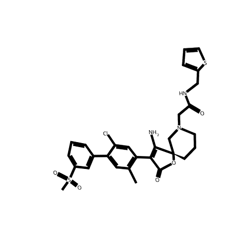 Cc1cc(-c2cccc(S(C)(=O)=O)c2)c(Cl)cc1C1=C(N)[C@@]2(CCCN(CC(=O)NCc3cccs3)C2)OC1=O